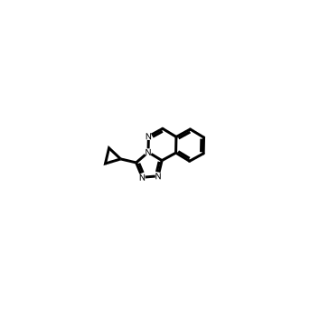 c1ccc2c(c1)cnn1c(C3CC3)nnc21